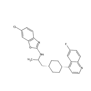 CC(C[C@H]1CC[C@@H](c2ccnc3ccc(F)cc32)CC1)Nc1nc2ccc(Cl)cc2o1